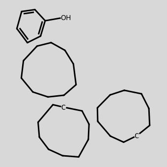 C1CCCCCCCCC1.C1CCCCCCCCC1.C1CCCCCCCCC1.Oc1ccccc1